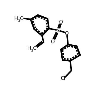 C=Cc1cc(C)ccc1S(=O)(=O)Oc1ccc(CCl)cc1